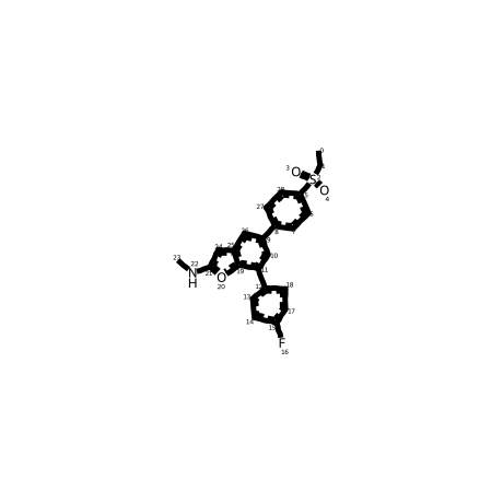 CCS(=O)(=O)c1ccc(-c2cc(-c3ccc(F)cc3)c3oc(NC)cc3c2)cc1